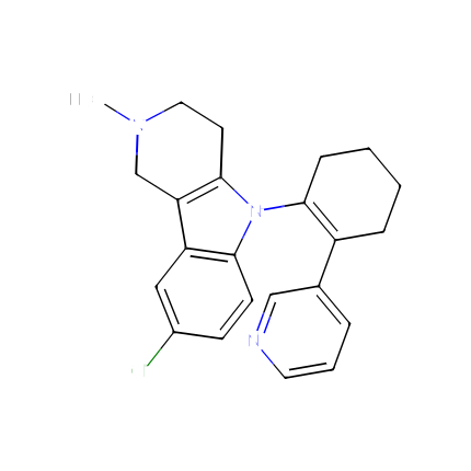 CN1CCc2c(c3cc(Cl)ccc3n2C2=C(c3cccnc3)CCCC2)C1